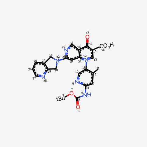 Cc1cc(NC(=O)OC(C)(C)C)ncc1-n1cc(C(=O)O)c(=O)c2cnc(N3Cc4cccnc4C3)cc21